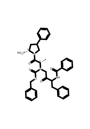 C[C@@H](C(=O)N1CC(c2ccccc2)C[C@H]1C(=O)O)N(CC(=O)C(Cc1ccccc1)NC(=O)c1ccccc1)C(=O)OCc1ccccc1